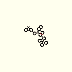 CC1(C)c2ccccc2-c2cc(-c3cccc(N(c4ccc(-c5cccc6c5-c5ccccc5C6(c5ccccc5)c5ccccc5)cc4)c4ccc5ccccc5c4-c4ccccc4)c3)ccc21